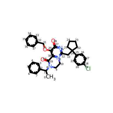 CC(c1ccccc1)N1CCn2c(CC3(c4ccc(Cl)cc4)CCCC3)nc(=O)c(OCc3ccccc3)c2C1=O